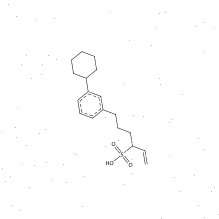 C=CC(CCCc1cccc(C2CCCCC2)c1)S(=O)(=O)O